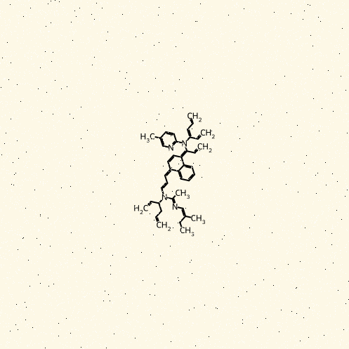 C=C/C=C(\C=C)N(/C(C=C)=c1\cc/c(=C/C=C/N(/C(C)=N/C=C(/C)CC)C(C=C)CC=C)c2ccccc12)c1ccc(C)cn1